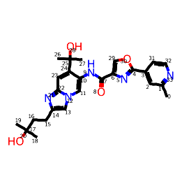 Cc1cc(-c2nc(C(=O)Nc3cn4cc(CCC(C)(C)O)nc4cc3C(C)(C)O)co2)ccn1